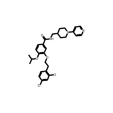 CC(C)Oc1ccc(C(=O)NCC2CCN(c3ccncc3)CC2)cc1OCCc1ccc(Cl)cc1Cl